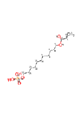 C=CC(=O)OCCCCCCCCCCCOP(=O)(O)O